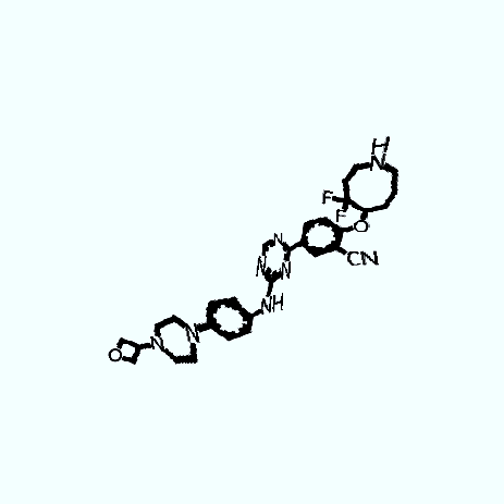 N#Cc1cc(-c2ncnc(Nc3ccc(N4CCN(C5COC5)CC4)cc3)n2)ccc1OC1CCCNCCC1(F)F